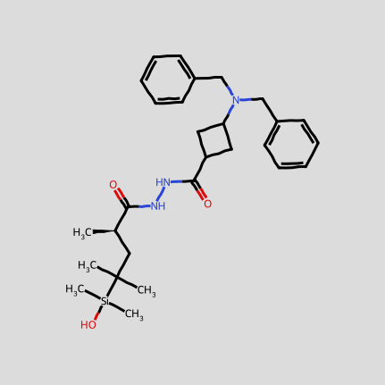 C[C@H](CC(C)(C)[Si](C)(C)O)C(=O)NNC(=O)C1CC(N(Cc2ccccc2)Cc2ccccc2)C1